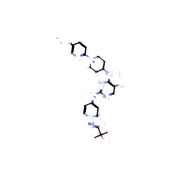 CC(C)(O)c1nc2cc(Nc3ncc(Cl)c(NC4CCN(c5ccc(C#N)cn5)CC4)n3)ccn2n1